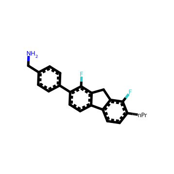 CCCc1ccc2c(c1F)Cc1c-2ccc(-c2ccc(CN)cc2)c1F